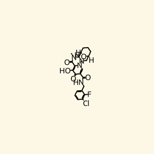 CN1C(=O)c2c(O)c(=O)c(C(=O)NCc3cccc(Cl)c3F)cn2N2C[C@@H]3CCC[C@@H](O3)[C@@H]12